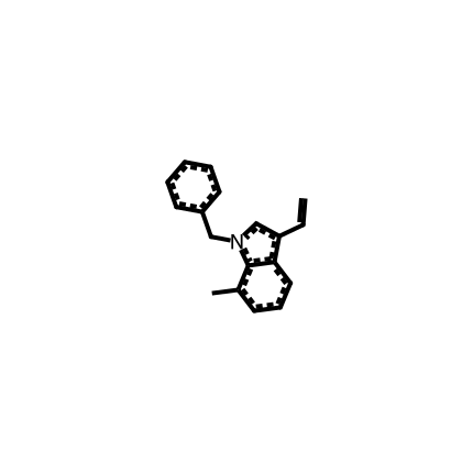 C=Cc1cn(Cc2ccccc2)c2c(C)cccc12